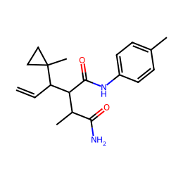 C=CC(C(C(=O)Nc1ccc(C)cc1)C(C)C(N)=O)C1(C)CC1